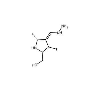 C[C@H]1NC(CO)C(I)/C1=C\NN